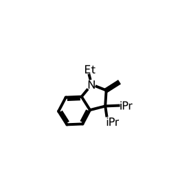 C=C1N(CC)c2ccccc2C1(C(C)C)C(C)C